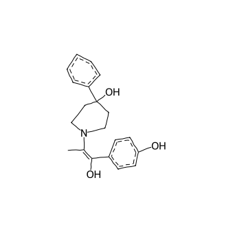 CC(=C(O)c1ccc(O)cc1)N1CCC(O)(c2ccccc2)CC1